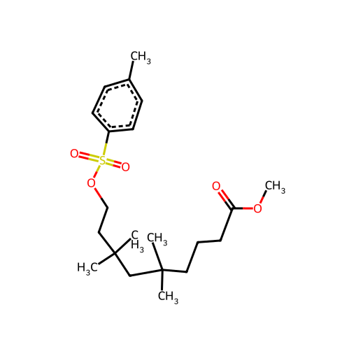 COC(=O)CCCC(C)(C)CC(C)(C)CCOS(=O)(=O)c1ccc(C)cc1